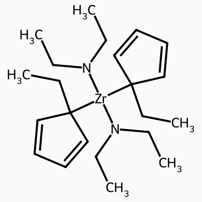 CC[N](CC)[Zr]([N](CC)CC)([C]1(CC)C=CC=C1)[C]1(CC)C=CC=C1